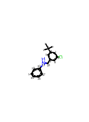 CC(C)(C)c1cc(Cl)cc(CNc2ccccc2)c1